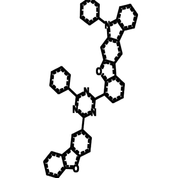 c1ccc(-c2nc(-c3ccc4oc5ccccc5c4c3)nc(-c3cccc4c3oc3cc5c(cc34)c3ccccc3n5-c3ccccc3)n2)cc1